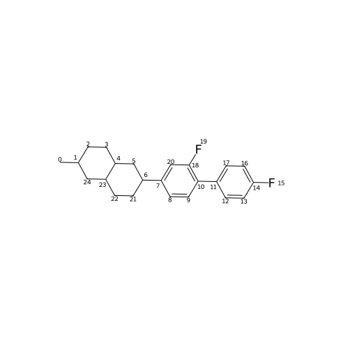 CC1CCC2CC(c3ccc(-c4ccc(F)cc4)c(F)c3)CCC2C1